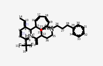 C=C(NC(C(/C=C\C(=C)C(C)(F)F)=C/C)C1C=CC=CNC1)C1CCN(CCCc2ccccc2)CC1